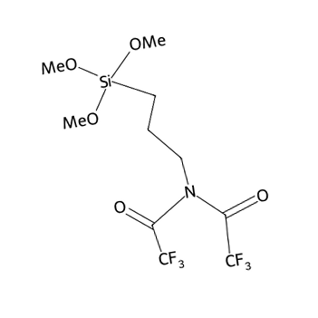 CO[Si](CCCN(C(=O)C(F)(F)F)C(=O)C(F)(F)F)(OC)OC